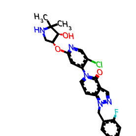 CC1(C)NC[C@H](Oc2cc(-n3ccc4c(cnn4Cc4ccccc4F)c3=O)c(Cl)cn2)[C@@H]1O